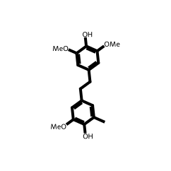 COc1cc(CCc2cc(OC)c(O)c(OC)c2)cc(C)c1O